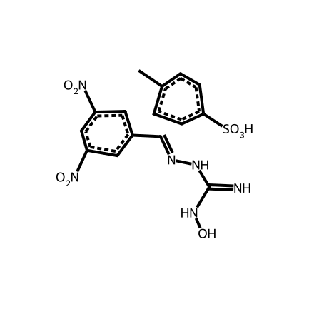 Cc1ccc(S(=O)(=O)O)cc1.N=C(NO)N/N=C/c1cc([N+](=O)[O-])cc([N+](=O)[O-])c1